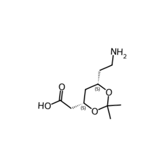 CC1(C)O[C@H](CC(=O)O)C[C@H](CCN)O1